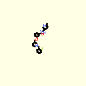 Cc1ccc(-c2noc(-c3cccc(OCC4CCCN(Cc5ccccc5F)C4)c3)n2)cn1